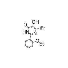 CCOc1ccccc1-c1nc(C(C)C)c(O)c(=O)[nH]1